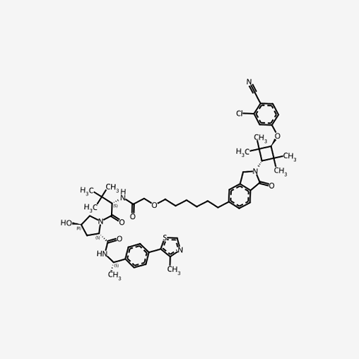 Cc1ncsc1-c1ccc([C@H](C)NC(=O)[C@@H]2C[C@@H](O)CN2C(=O)[C@@H](NC(=O)COCCCCCCc2ccc3c(c2)CN([C@H]2C(C)(C)[C@H](Oc4ccc(C#N)c(Cl)c4)C2(C)C)C3=O)C(C)(C)C)cc1